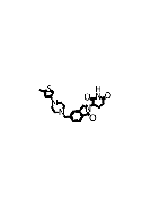 Cc1cc(N2CCN(Cc3ccc4c(c3)CN(C3CCC(=O)NC3=O)C4=O)CC2)cs1